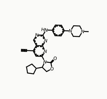 C#Cc1cc(N2C(=O)OCC2C2CCCC2)nc2nc(Nc3ccc(N4CCN(C)CC4)cc3)ncc12